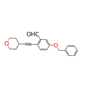 O=Cc1cc(OCc2ccccc2)ccc1C#CC1CCOCC1